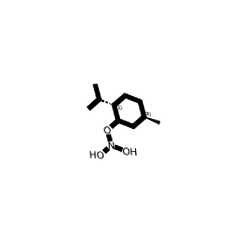 CC(C)[C@@H]1CC[C@@H](C)CC1ON(O)O